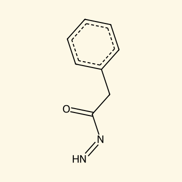 N=NC(=O)Cc1ccccc1